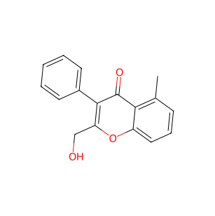 Cc1cccc2oc(CO)c(-c3ccccc3)c(=O)c12